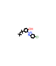 CC(C)(C)CC(C)(C)c1ccc(O)c(-n2nc3ccc(Cl)cc3n2)c1